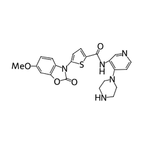 COc1ccc2c(c1)oc(=O)n2-c1ccc(C(=O)Nc2cnccc2N2CCNCC2)s1